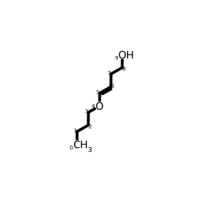 CCCCOC=CCCO